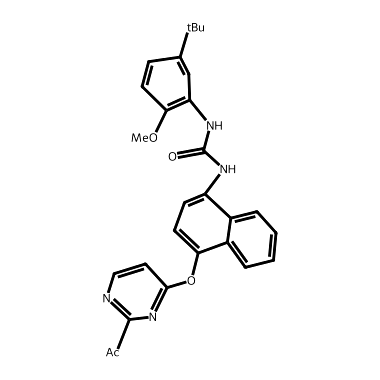 COc1ccc(C(C)(C)C)cc1NC(=O)Nc1ccc(Oc2ccnc(C(C)=O)n2)c2ccccc12